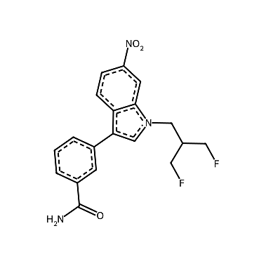 NC(=O)c1cccc(-c2cn(CC(CF)CF)c3cc([N+](=O)[O-])ccc23)c1